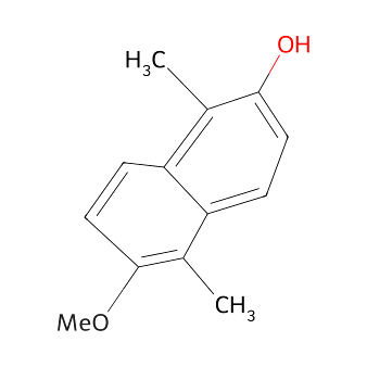 COc1ccc2c(C)c(O)ccc2c1C